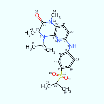 CC(C)N1c2nc(Nc3ccc(S(=O)(=O)C(C)C)cc3)ccc2N(C)C(=O)[C@H]1C